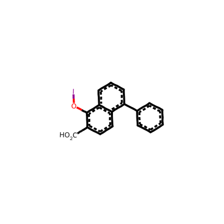 O=C(O)c1ccc2c(-c3ccccc3)cccc2c1OI